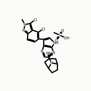 CS(=O)(=O)O.Cn1nc2ccc(-c3c[nH]c4nc(N5C6CCC5CC(N)C6)cnc34)c(Cl)c2c1Cl